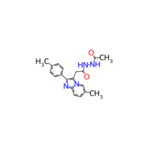 CC(=O)NNC(=O)Cc1c(-c2ccc(C)cc2)nc2ccc(C)cn12